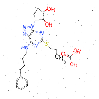 CCCSc1nc(NCCCCc2ccccc2)c2nnn([C@@H]3CC[C@@H](O)[C@H]3O)c2n1.O=C(O)O